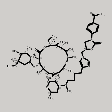 CC[C@H]1OC(=O)[C@H](C)[C@@H](O[C@H]2C[C@@](C)(OC)[C@@H](O)[C@H](C)O2)[C@H](C)[C@@H](O[C@@H]2O[C@H](C)C[C@H](N(C)CCCCc3cn(C[C@H]4CN(c5ccc(C(C)=O)cc5)C(=O)O4)nn3)[C@H]2O)[C@](C)(O)C[C@@H](C)CN(C)[C@H](C)[C@@H](O)[C@]1(C)O